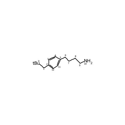 CC(C)(C)Cc1ccc(CCCCN)cc1